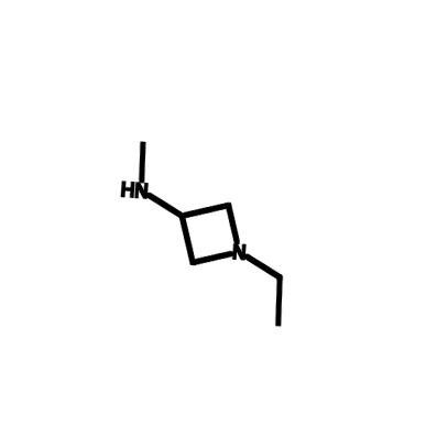 CCN1CC(NC)C1